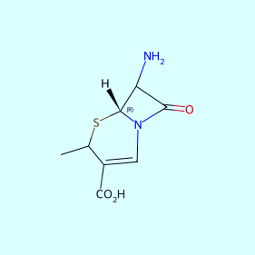 CC1S[C@@H]2C(N)C(=O)N2C=C1C(=O)O